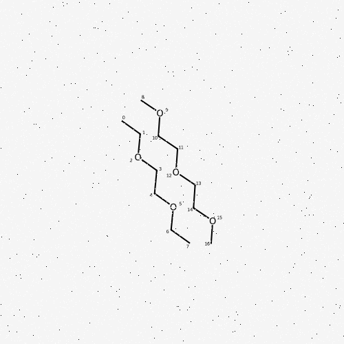 CCOCCOCC.COCCOCCOC